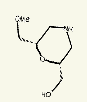 COC[C@@H]1CNC[C@H](CO)O1